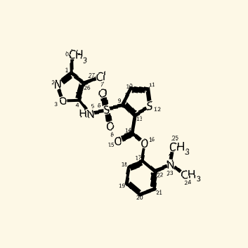 Cc1noc(NS(=O)(=O)c2ccsc2C(=O)Oc2ccccc2N(C)C)c1Cl